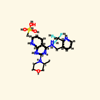 CC1COCCN1c1nc(NCc2cccnc2C(F)(F)F)c2cccnc2n1.CS(=O)(=O)O